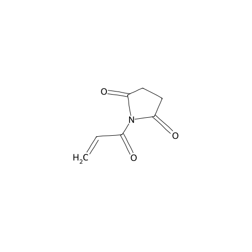 C=CC(=O)N1C(=O)CCC1=O